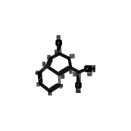 O=C1C=c2ccccc2=C(C(=O)O)C1